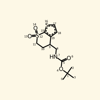 CC(C)(C)OC(=O)NCC1CCS(=O)(=O)c2sccc21